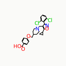 O=C(O)c1ccc(OCC2CCN(Cc3c(-c4c(Cl)cccc4Cl)noc3C3CC3)CC2)cc1